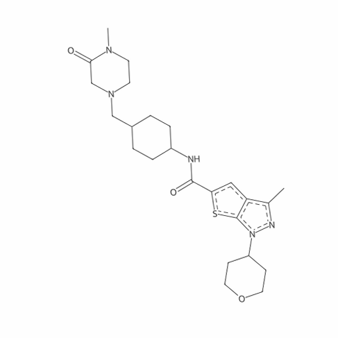 Cc1nn(C2CCOCC2)c2sc(C(=O)NC3CCC(CN4CCN(C)C(=O)C4)CC3)cc12